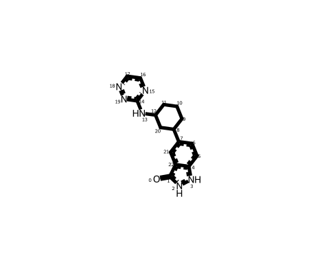 O=c1[nH][nH]c2ccc(C3CCCC(Nc4nccnn4)C3)cc12